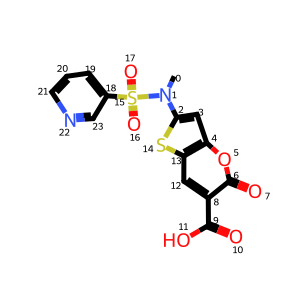 CN(c1cc2oc(=O)c(C(=O)O)cc2s1)S(=O)(=O)c1cccnc1